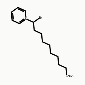 CCCCCCCCCCCCCCCCCC(Br)[n+]1ccccc1